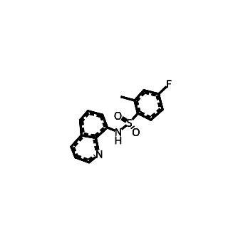 Cc1cc(F)ccc1S(=O)(=O)Nc1cccc2cccnc12